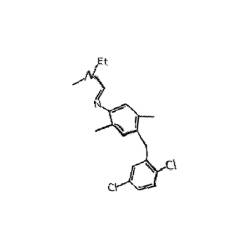 CCN(C)C=Nc1cc(C)c(Cc2cc(Cl)ccc2Cl)cc1C